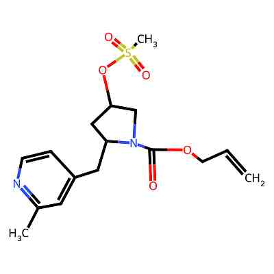 C=CCOC(=O)N1CC(OS(C)(=O)=O)CC1Cc1ccnc(C)c1